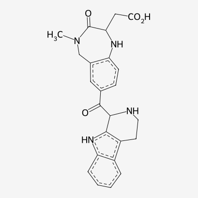 CN1Cc2cc(C(=O)C3NCCc4c3[nH]c3ccccc43)ccc2NC(CC(=O)O)C1=O